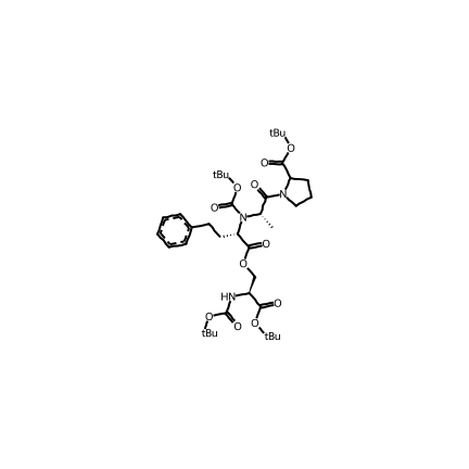 C[C@@H](C(=O)N1CCCC1C(=O)OC(C)(C)C)N(C(=O)OC(C)(C)C)[C@@H](CCc1ccccc1)C(=O)OC[C@H](NC(=O)OC(C)(C)C)C(=O)OC(C)(C)C